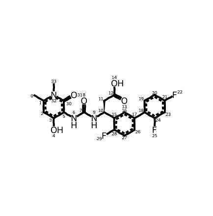 Cc1cc(O)c(NC(=O)N[C@@H](CC(=O)O)c2cc(-c3ccc(F)cc3F)ccc2F)c(=O)n1C